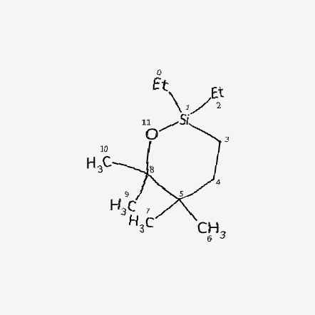 CC[Si]1(CC)CCC(C)(C)C(C)(C)O1